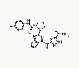 Cc1ccc(NC(=O)[C@@H]2CCCN2c2nc(Nc3cc(C(N)=O)[nH]n3)c3cccn3n2)cn1